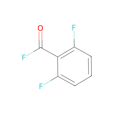 O=C(F)c1c(F)cccc1F